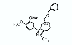 COc1cc(-c2nc(C)c3n2C[C@@H](COCc2ccccc2)OCC3)ccc1OC(F)(F)F